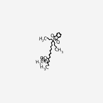 CCCCC(CCCCCCCCC(CCCC)(CCCC)N1C(=O)c2ccccc2C1=O)OS(C)(=O)=O